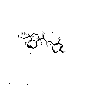 O=C(NCc1ccc(F)cc1Cl)[C@]1(F)CC[C@@](O)(CF)c2ncccc21